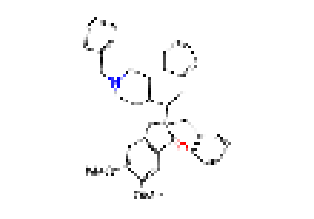 COc1cc2c(cc1OC)C(=O)C(Cc1ccccc1)(C(Cc1ccccc1)C1CCN(Cc3ccccc3)CC1)C2